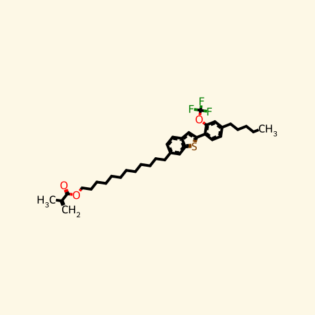 C=C(C)C(=O)OCCCCCCCCCCCCc1ccc2cc(-c3ccc(CCCCC)cc3OC(F)(F)F)sc2c1